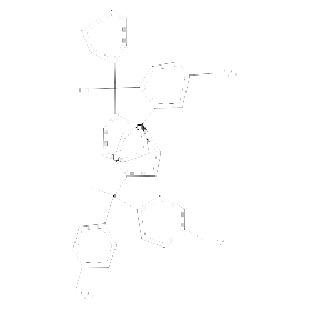 COc1ccc(C(c2ccc(OC)cc2)(c2ccc(-c3cc(OC)ccc3C(c3ccccc3)(c3ccccc3)C(C)C)cc2)C(C)C)cc1